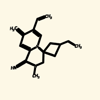 C=CC1=CN2C(=CC1=C)C(=N)N(C)CC21CC(CC)C1